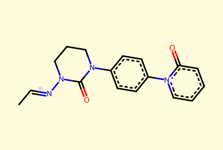 C/C=N/N1CCCN(c2ccc(-n3ccccc3=O)cc2)C1=O